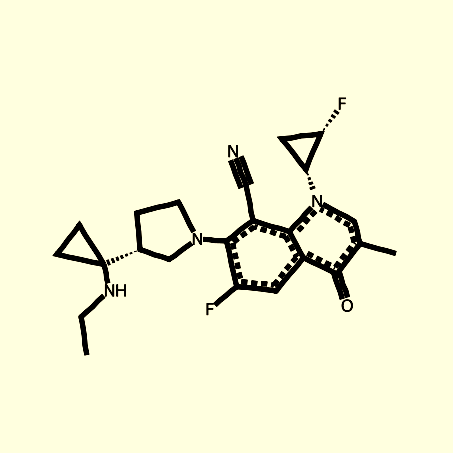 CCNC1([C@@H]2CCN(c3c(F)cc4c(=O)c(C)cn([C@@H]5C[C@@H]5F)c4c3C#N)C2)CC1